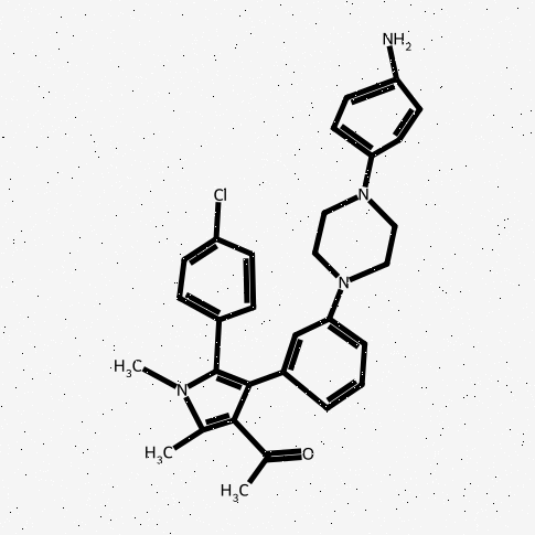 CC(=O)c1c(-c2cccc(N3CCN(c4ccc(N)cc4)CC3)c2)c(-c2ccc(Cl)cc2)n(C)c1C